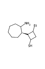 CCC1CC(S)C1[C@H]1CCCCCC1N